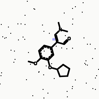 COc1ccc(/C(C=O)=C/N(C)C)cc1OC1CCCC1